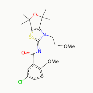 COCCn1c2c(s/c1=N\C(=O)c1cc(Cl)ccc1OC)C(C)(C)OC2(C)C